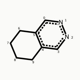 c1nncc2c1CCCC2